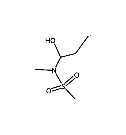 [CH2]CC(O)N(C)S(C)(=O)=O